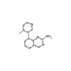 Cc1ccncc1-c1cccc2cnc(N)nc12